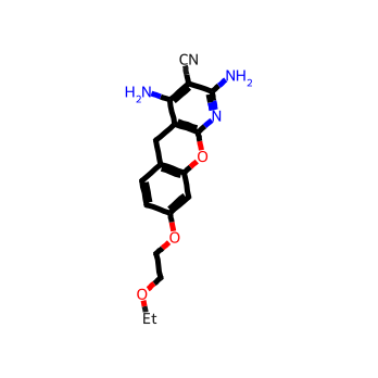 CCOCCOc1ccc2c(c1)Oc1nc(N)c(C#N)c(N)c1C2